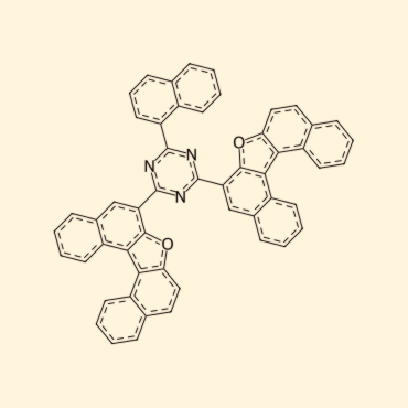 c1ccc2c(-c3nc(-c4cc5ccccc5c5c4oc4ccc6ccccc6c45)nc(-c4cc5ccccc5c5c4oc4ccc6ccccc6c45)n3)cccc2c1